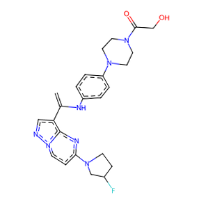 C=C(Nc1ccc(N2CCN(C(=O)CO)CC2)cc1)c1cnn2ccc(N3CCC(F)C3)nc12